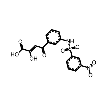 O=C(O)/C(O)=C/C(=O)c1cccc(NS(=O)(=O)c2cccc([N+](=O)[O-])c2)c1